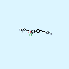 CCCCCc1ccc(-c2ccc(OCCCC)c(Cl)c2)cc1